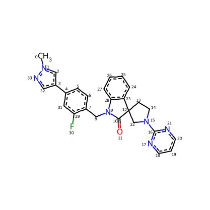 Cn1cc(-c2ccc(CN3C(=O)C4(CCN(c5ncccn5)C4)c4ccccc43)c(F)c2)cn1